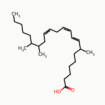 CCCCCC(C)C(C)C/C=C\C/C=C\C=C\C(C)CCCCCC(=O)O